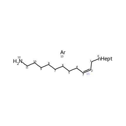 CCCCCCCC/C=C\CCCCCCCCN.[Ar]